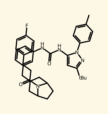 Cc1ccc(-n2nc(C(C)(C)C)cc2NC(=O)Nc2cccc(CC3CC4CCC(C3)N4C(=O)CCc3ccc(F)cc3)c2)cc1